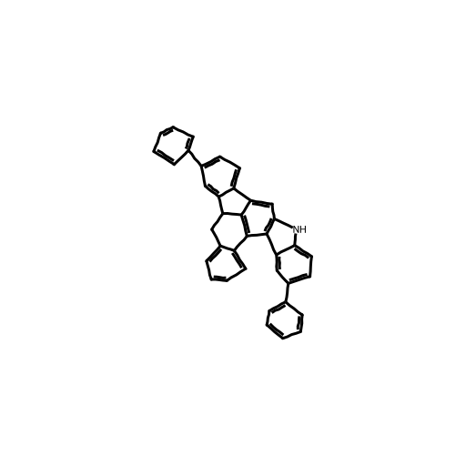 c1ccc(-c2ccc3c(c2)C2Cc4ccccc4-c4c2c-3cc2[nH]c3ccc(-c5ccccc5)cc3c42)cc1